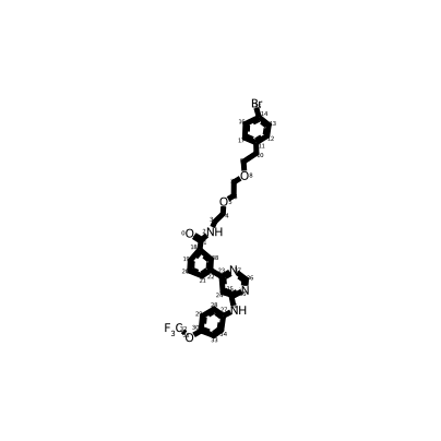 O=C(NCCOCCOCCc1ccc(Br)cc1)c1cccc(-c2cc(Nc3ccc(OC(F)(F)F)cc3)ncn2)c1